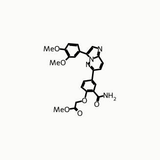 COC(=O)COc1ccc(-c2ccc3ncc(-c4ccc(OC)c(OC)c4)n3n2)cc1C(N)=O